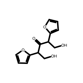 O=C(C(CO)c1ccco1)C(CO)c1ccco1